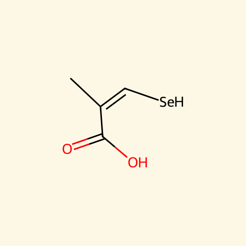 CC(=C[SeH])C(=O)O